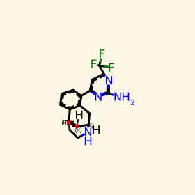 Nc1nc(-c2cccc3c2C[C@H]2NCC[C@@]34CCCC[C@@H]24)cc(C(F)(F)F)n1